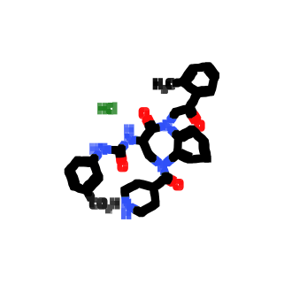 Cc1ccccc1C(=O)CN1C(=O)C(NC(=O)Nc2cccc(C(=O)O)c2)CN(C(=O)C2CCNCC2)c2ccccc21.Cl